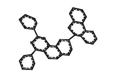 c1ccc(-c2nc(-c3ccccc3)c3ccc4ccc(-c5cc6ccccc6c6ccccc56)cc4c3n2)cc1